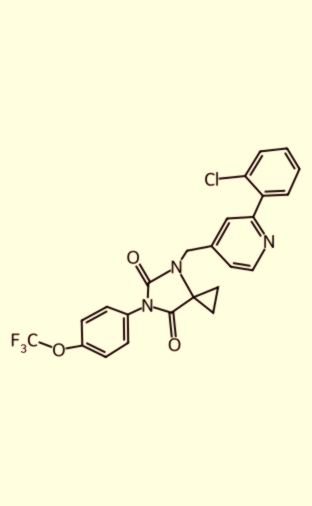 O=C1N(c2ccc(OC(F)(F)F)cc2)C(=O)C2(CC2)N1Cc1ccnc(-c2ccccc2Cl)c1